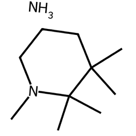 CN1CCCC(C)(C)C1(C)C.N